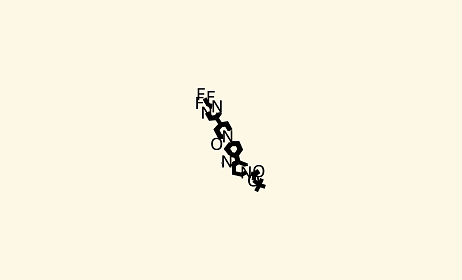 Cn1c2c(c3ccc(-n4ccc(-c5cnc(C(F)(F)F)nc5)cc4=O)cc31)CN(C(=O)OC(C)(C)C)CC2